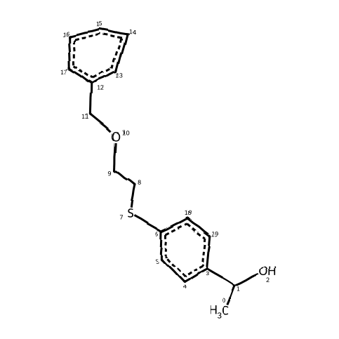 CC(O)c1ccc(SCCOCc2ccccc2)cc1